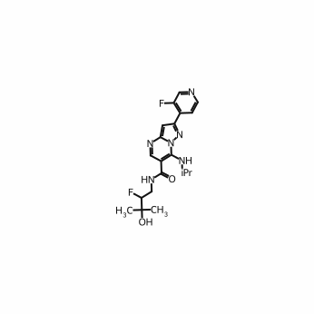 CC(C)Nc1c(C(=O)NCC(F)C(C)(C)O)cnc2cc(-c3ccncc3F)nn12